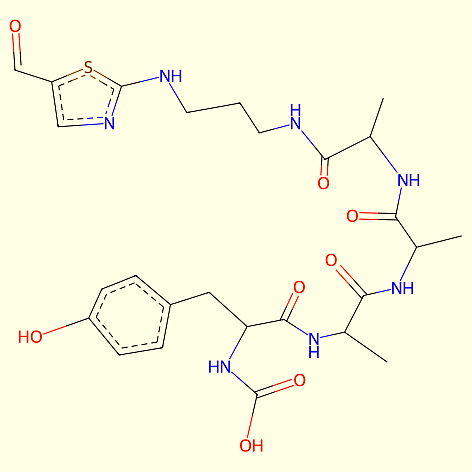 CC(NC(=O)C(C)NC(=O)C(C)NC(=O)C(Cc1ccc(O)cc1)NC(=O)O)C(=O)NCCCNc1ncc(C=O)s1